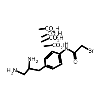 CC(=O)O.CC(=O)O.CC(=O)O.CC(=O)O.NCC(N)Cc1ccc(NC(=O)CBr)cc1